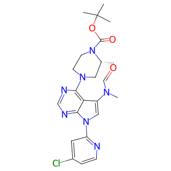 C[C@@H]1CN(c2ncnc3c2c(N(C)C=O)cn3-c2cc(Cl)ccn2)CCN1C(=O)OC(C)(C)C